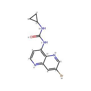 O=C(Nc1ccnc2cc(Br)cnc12)NC1CC1